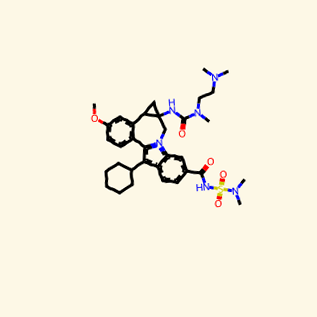 COc1ccc2c(c1)C1CC1(NC(=O)N(C)CCN(C)C)Cn1c-2c(C2CCCCC2)c2ccc(C(=O)NS(=O)(=O)N(C)C)cc21